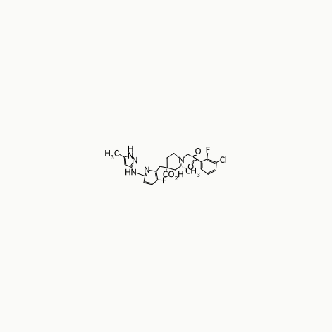 Cc1cc(Nc2ccc(F)c(C[C@@]3(C(=O)O)CCN(CS(=O)(=O)c4cccc(Cl)c4F)[C@H](C)C3)n2)n[nH]1